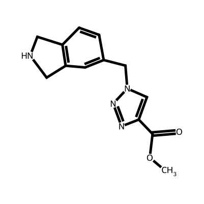 COC(=O)c1cn(Cc2ccc3c(c2)CNC3)nn1